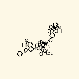 COC(=O)C(O)(c1ccccc1)c1ccc(OCCCCCN(C[C@H](O[Si](C)(C)C(C)(C)C)c2ccc(OCc3ccccc3)c3[nH]c(=O)ccc23)C(=O)OC(C)(C)C)cc1